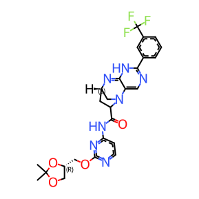 CC1(C)OC[C@@H](COc2nccc(NC(=O)C3C[C@H]4CN3C3=CN=C(c5cccc(C(F)(F)F)c5)NC3=N4)n2)O1